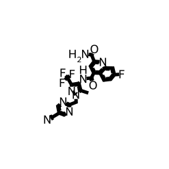 Cc1c(NC(=O)c2cc(C(N)=O)nc3cc(F)ccc23)c(C(F)(F)F)nn1Cc1ncc(C#N)cn1